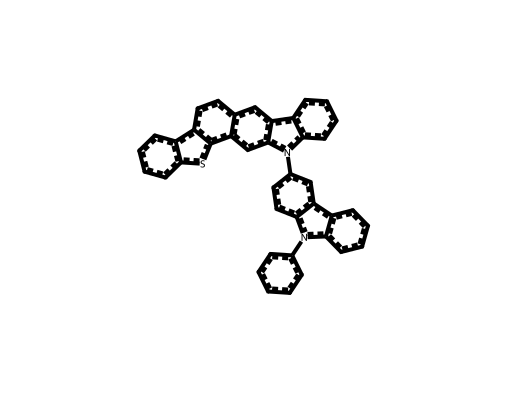 c1ccc(-n2c3ccccc3c3cc(-n4c5ccccc5c5cc6ccc7c8ccccc8sc7c6cc54)ccc32)cc1